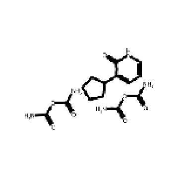 NC(=O)OC(N)=O.NC(=O)OC(N)=O.O=c1[nH]cccc1C1CCCC1